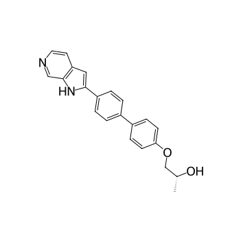 C[C@@H](O)COc1ccc(-c2ccc(-c3cc4ccncc4[nH]3)cc2)cc1